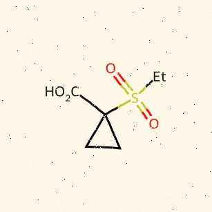 CCS(=O)(=O)C1(C(=O)O)CC1